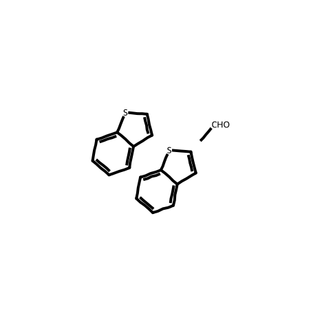 CC=O.c1ccc2sccc2c1.c1ccc2sccc2c1